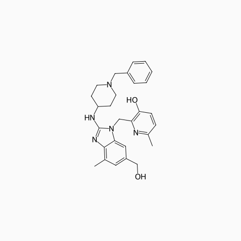 Cc1ccc(O)c(Cn2c(NC3CCN(Cc4ccccc4)CC3)nc3c(C)cc(CO)cc32)n1